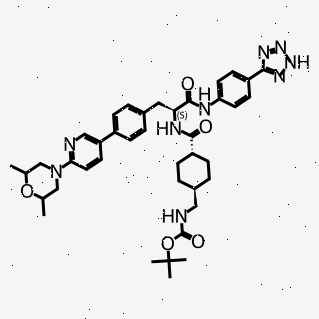 CC1CN(c2ccc(-c3ccc(C[C@H](NC(=O)[C@H]4CC[C@H](CNC(=O)OC(C)(C)C)CC4)C(=O)Nc4ccc(-c5nn[nH]n5)cc4)cc3)cn2)CC(C)O1